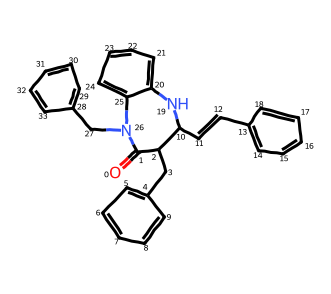 O=C1C(Cc2ccccc2)C(/C=C/c2ccccc2)Nc2ccccc2N1Cc1ccccc1